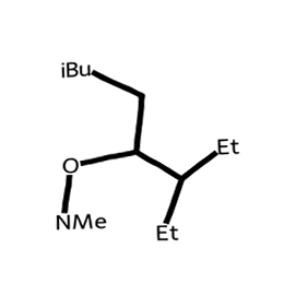 CCC(C)CC(ONC)C(CC)CC